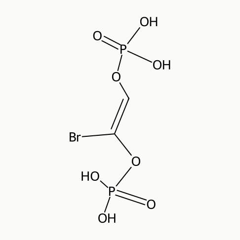 O=P(O)(O)O/C=C(\Br)OP(=O)(O)O